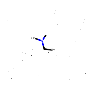 [CH2]N(CC(C)C)C(C)C